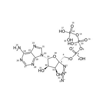 [N-]=[N+]=N[C@]1(COP(=O)(O)OP(=O)(O)OP(=O)(O)O)O[C@@H](n2cnc3c(N)ncnc32)[C@H](O)[C@@H]1O